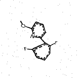 COc1cccc(-c2c(F)cccc2F)n1